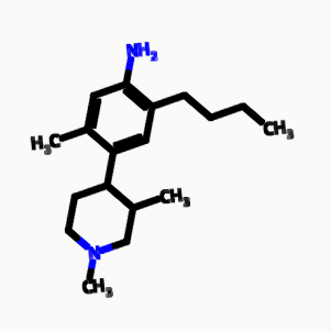 CCCCc1cc(C2CCN(C)CC2C)c(C)cc1N